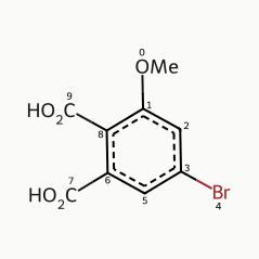 COc1cc(Br)cc(C(=O)O)c1C(=O)O